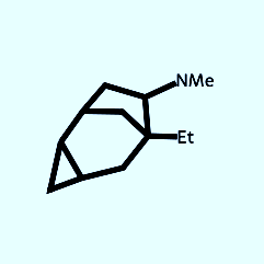 CCC12CC3CC3C(CC1NC)C2